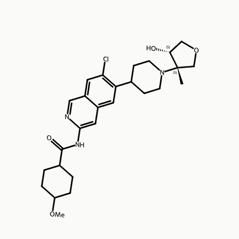 COC1CCC(C(=O)Nc2cc3cc(C4CCN([C@@]5(C)COC[C@H]5O)CC4)c(Cl)cc3cn2)CC1